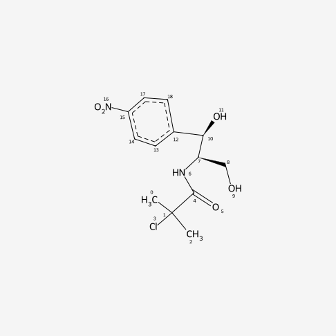 CC(C)(Cl)C(=O)N[C@H](CO)[C@H](O)c1ccc([N+](=O)[O-])cc1